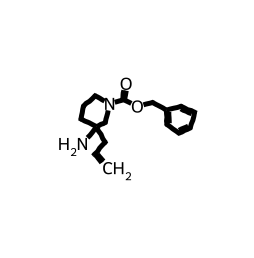 C=CCC1(N)CCCN(C(=O)OCc2ccccc2)C1